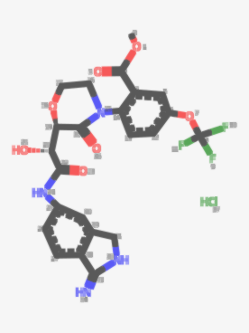 COC(=O)c1cc(OC(F)(F)F)ccc1N1CCO[C@H]([C@@H](O)C(=O)Nc2ccc3c(c2)CNC3=N)C1=O.Cl